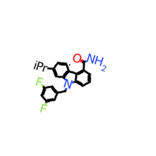 CC(C)c1c[c]c2c3c(C(N)=O)cccc3n(Cc3cc(F)cc(F)c3)c2c1